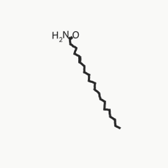 CCCCCCCCCCCCCCCC=CCCCC(N)=O